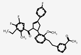 CCc1c(C)c(C(=O)C2C=C(c3ccc(F)cc3)CC2c2cccc(CCc3cccc(C(C)=O)c3)c2OC)cc(F)c1F